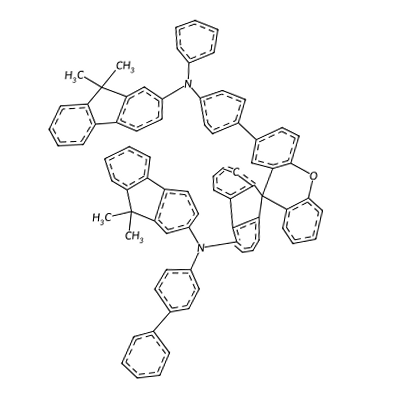 CC1(C)c2ccccc2-c2ccc(N(c3ccccc3)c3ccc(-c4ccc5c(c4)C4(c6ccccc6O5)c5ccccc5-c5c(N(c6ccc(-c7ccccc7)cc6)c6ccc7c(c6)C(C)(C)c6ccccc6-7)cccc54)cc3)cc21